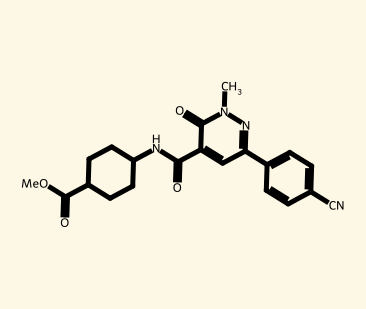 COC(=O)C1CCC(NC(=O)c2cc(-c3ccc(C#N)cc3)nn(C)c2=O)CC1